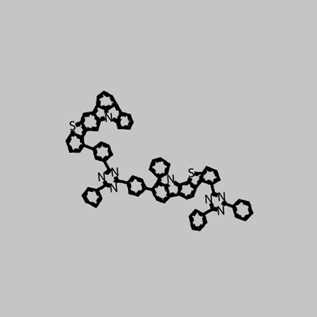 c1ccc(-c2nc(-c3ccc(-c4ccc5c6ccc7c(sc8cccc(-c9nc(-c%10ccccc%10)nc(-c%10ccccc%10)n9)c87)c6n6c7ccccc7c4c56)cc3)nc(-c3cccc(-c4cccc5sc6cc7c8cccc9c%10ccccc%10n(c7cc6c45)c98)c3)n2)cc1